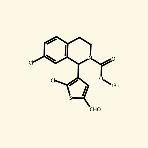 CC(C)(C)OC(=O)N1CCc2ccc(Cl)cc2C1c1cc(C=O)sc1Cl